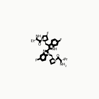 CC[C@H](N)C(=O)N1C[C@@H](F)C[C@H]1Cc1c(-c2nc3cc(F)ccc3n2C[C@@H]2CCCN2C(=O)[C@@H](N)C(C)C)[nH]c2cc(F)ccc12